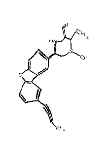 CC#Cc1ccc2sc3ccc(C4C[S+]([O-])C(C)C(=N)N4)cc3c2c1